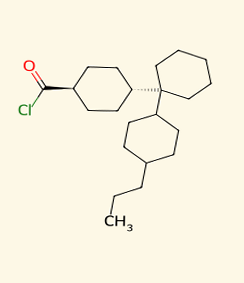 CCCC1CCC(C2([C@H]3CC[C@H](C(=O)Cl)CC3)CCCCC2)CC1